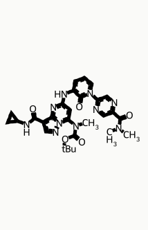 CN(C)C(=O)c1cnc(-n2cccc(Nc3cc(N(C)C(=O)OC(C)(C)C)n4ncc(C(=O)NC5CC5)c4n3)c2=O)cn1